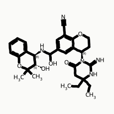 CCC1(CC)CC(=O)N([C@@H]2CCOc3c(C#N)cc(C(O)N[C@@H]4c5ccccc5OC(C)(C)[C@H]4O)cc32)C(=N)N1